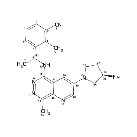 Cc1c(C#N)cccc1[C@@H](C)Nc1nnc(C)c2ncc(N3CC[C@@H](F)C3)cc12